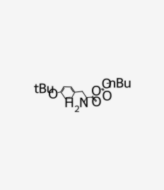 CCCCOC(=O)OC(=O)[C@@H](N)Cc1ccc(OC(C)(C)C)cc1